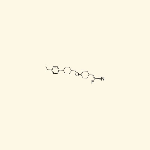 CCc1ccc(C2CCC(COC3CCC(C=C(F)C#N)CC3)CC2)cc1